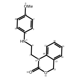 COc1ccc(NCCN2C(=O)OCc3ccccc32)cc1